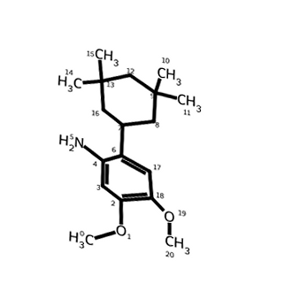 COc1cc(N)c(C2CC(C)(C)CC(C)(C)C2)cc1OC